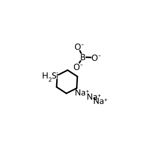 C1CC[SiH2]CC1.[Na+].[Na+].[Na+].[O-]B([O-])[O-]